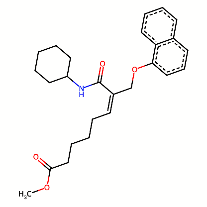 COC(=O)CCCCC=C(COc1cccc2ccccc12)C(=O)NC1CCCCC1